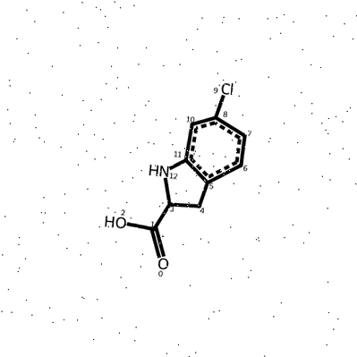 O=C(O)C1Cc2ccc(Cl)cc2N1